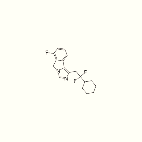 Fc1cccc2c1Cn1cnc(CC(F)(F)C3CCCCC3)c1-2